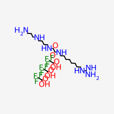 N=C(N)NCCCCCCCCNC(=O)C(=O)NCCCCNCCCN.O=C(O)C(F)(F)F.O=C(O)C(F)(F)F.O=C(O)C(F)(F)F